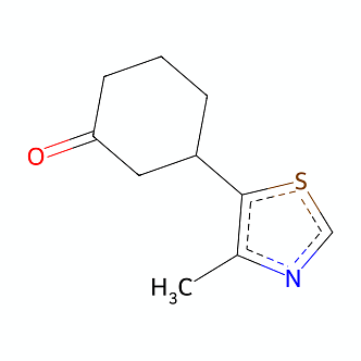 Cc1ncsc1C1CCCC(=O)C1